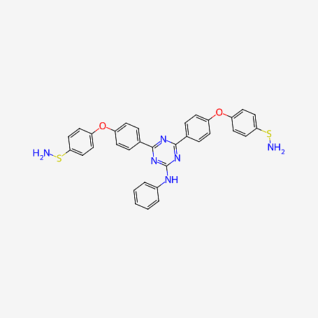 NSc1ccc(Oc2ccc(-c3nc(Nc4ccccc4)nc(-c4ccc(Oc5ccc(SN)cc5)cc4)n3)cc2)cc1